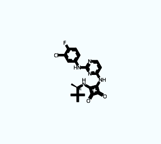 C[C@@H](Nc1c(Nc2ccnc(Nc3ccc(F)c(Cl)c3)n2)c(=O)c1=O)C(C)(C)C